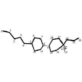 CCCCCC1CCC([C@H]2CC[C@](F)(CCC)CC2)CC1